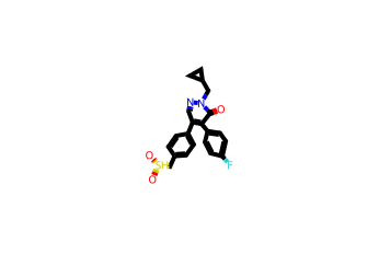 O=c1c(-c2ccc(F)cc2)c(-c2ccc(C[SH](=O)=O)cc2)cnn1CC1CC1